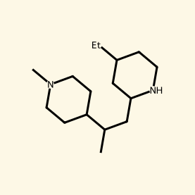 CCC1CCNC(CC(C)C2CCN(C)CC2)C1